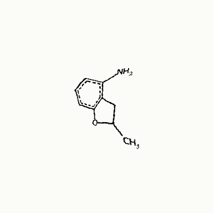 CC1Cc2c(N)cccc2O1